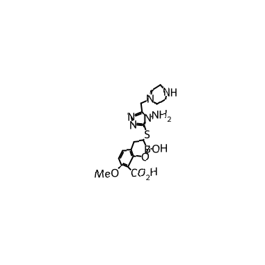 COc1ccc2c(c1C(=O)O)OB(O)[C@@H](Sc1nnc(CN3CCNCC3)n1N)C2